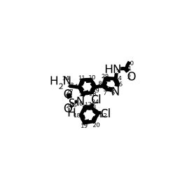 CC(=O)Nc1cncc(-c2ccc(CN)c(N(c3cccc(Cl)c3Cl)[SH](=O)=O)c2)c1